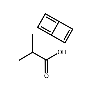 CC(I)C(=O)O.c1cc2ccc1-2